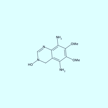 COc1c(N)c2c(c(N)c1OC)N=CN(O)C2